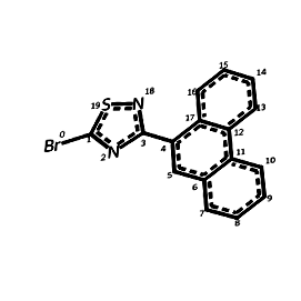 Brc1nc(-c2cc3ccccc3c3ccccc23)ns1